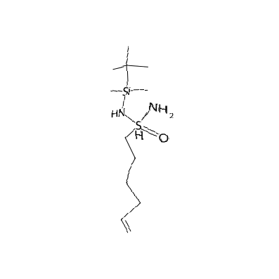 C=CCCCC[SH](N)(=O)N[Si](C)(C)C(C)(C)C